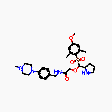 COc1cc(C)c(S(=O)(=O)C(OCC(=O)NCc2ccc(N3CCN(C)CC3)cc2)C2CCCN2)c(C)c1